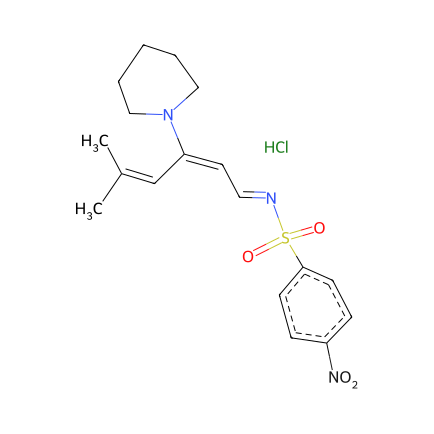 CC(C)=C/C(=C\C=N\S(=O)(=O)c1ccc([N+](=O)[O-])cc1)N1CCCCC1.Cl